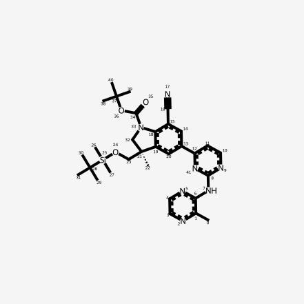 Cc1nccnc1Nc1nccc(-c2cc(C#N)c3c(c2)[C@@](C)(CO[Si](C)(C)C(C)(C)C)CN3C(=O)OC(C)(C)C)n1